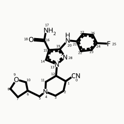 N#CC1CCN(CC2CCOC2)CC1n1cc(C(N)=O)c(Nc2ccc(F)cc2)n1